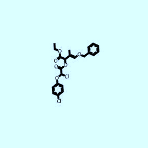 CCOC(=O)C(OC(=O)C(Cl)Oc1ccc(Cl)cc1)C(C)=COCc1ccccc1